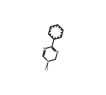 ClN1C=NC(c2ccccc2)=NC1